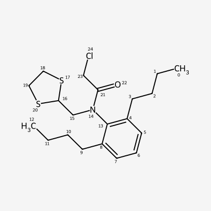 CCCCc1cccc(CCCC)c1N(CC1SCCS1)C(=O)CCl